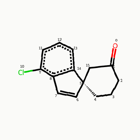 O=C1CCC[C@@]2(C=Cc3c(Cl)cccc32)C1